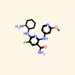 COc1cc(Nc2nc(NC3CCCC[C@@H]3N)c(F)cc2C(N)=O)ccn1